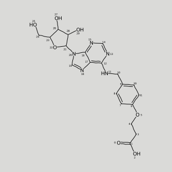 O=C(O)CCOc1ccc(CNc2ncnc3c2ncn3C2OC(CO)C(O)C2O)cc1